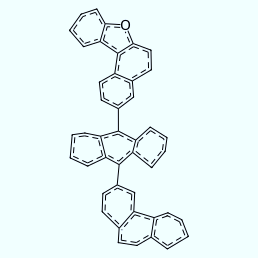 c1ccc2c(c1)ccc1ccc(-c3c4ccccc4c(-c4ccc5c(ccc6oc7ccccc7c65)c4)c4ccccc34)cc12